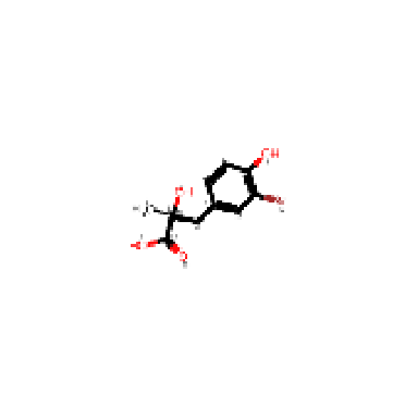 C[C@@](O)(Cc1ccc(O)c(Br)c1)C(=O)O